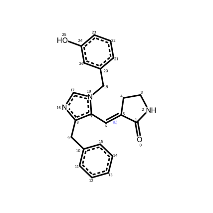 O=C1NCC/C1=C\c1c(Cc2ccccc2)ncn1Cc1cccc(O)c1